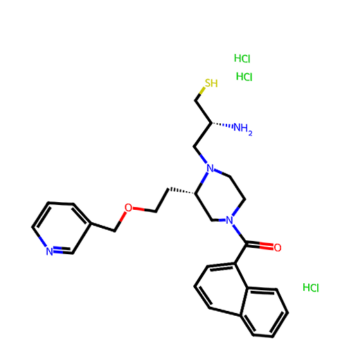 Cl.Cl.Cl.N[C@@H](CS)CN1CCN(C(=O)c2cccc3ccccc23)C[C@@H]1CCOCc1cccnc1